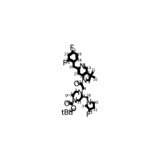 C[C@@H]1CN(CC(=O)N2CC(C)(C)c3cnc(Cc4ccc(F)cc4F)cc32)[C@@H](CN2CCC(F)C2)CN1C(=O)OC(C)(C)C